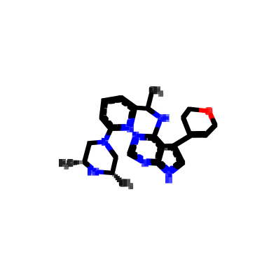 CC(Nc1ncnc2[nH]cc(C3=CCOCC3)c12)c1cccc(N2C[C@@H](C)N[C@@H](C)C2)n1